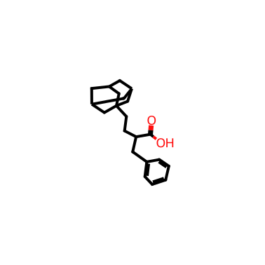 O=C(O)C(CCC12CC3CC(CC(C3)C1)C2)Cc1ccccc1